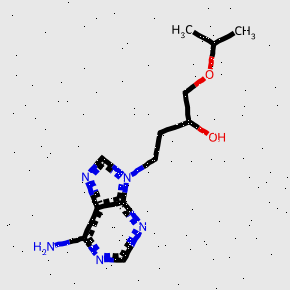 CC(C)OCC(O)CCn1cnc2c(N)ncnc21